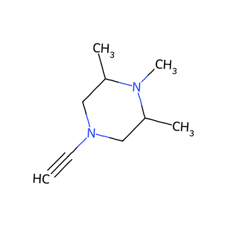 C#CN1CC(C)N(C)C(C)C1